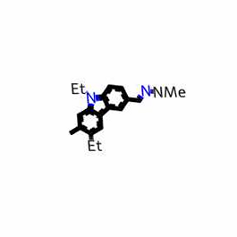 CCc1cc2c3cc(/C=N/NC)ccc3n(CC)c2cc1C